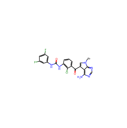 CC(C)n1cc(C(=O)c2cccc(NC(=O)Nc3cc(F)cc(F)c3)c2Cl)c2c(N)ncnc21